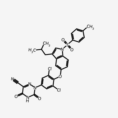 Cc1ccc(S(=O)(=O)n2cc(CC(C)C)c3cc(Oc4c(Cl)cc(-n5nc(C#N)c(=O)[nH]c5=O)cc4Cl)ccc32)cc1